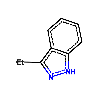 C[CH]c1n[nH]c2ccccc12